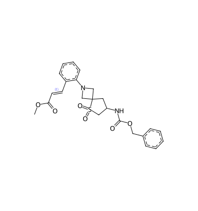 COC(=O)/C=C/c1ccccc1N1CC2(CC(NC(=O)OCc3ccccc3)CS2(=O)=O)C1